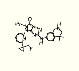 CC(C)n1c(=O)c2cnc(Nc3ccc4c(c3)CNCC4(C)C)nc2n1-c1cccc(C2(CF)CC2)n1